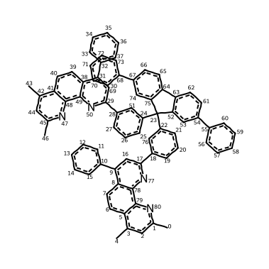 Cc1cc(C)c2ccc3c(-c4ccccc4)cc(-c4cccc(C5(c6cccc(-c7cc(-c8ccccc8)c8ccc9c(C)cc(C)nc9c8n7)c6)c6cc(-c7ccccc7)ccc6-c6ccc(-c7ccccc7)cc65)c4)nc3c2n1